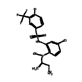 CCC(C)[S+]([O-])c1ccc(Cl)cc1NS(=O)(=O)c1ccc(Cl)c(C(F)(F)F)c1